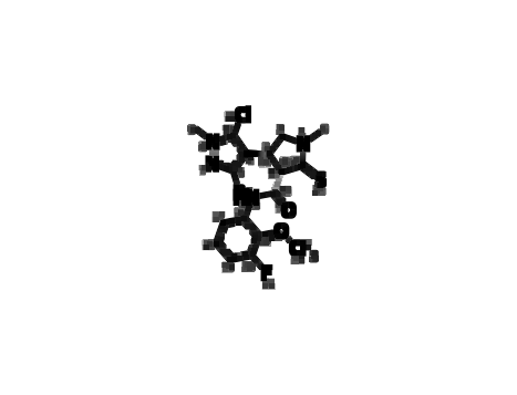 CN1C[C@H](c2c(Br)nn(C)c2Cl)[C@@H](C(=O)Nc2cccc(F)c2OC(F)(F)F)C1=S